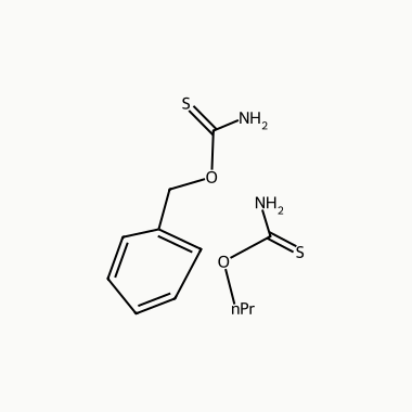 CCCOC(N)=S.NC(=S)OCc1ccccc1